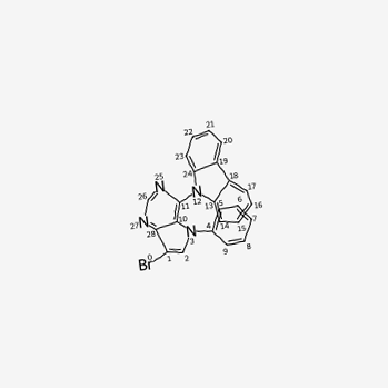 Brc1cn(-c2ccccc2)c2c(-n3c4ccccc4c4ccccc43)ncnc12